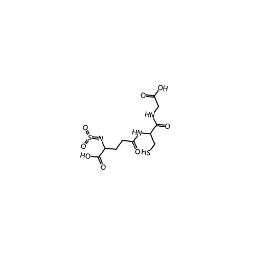 O=C(O)CNC(=O)C(CS)NC(=O)CCC(N=S(=O)=O)C(=O)O